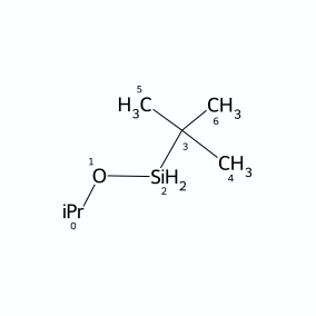 CC(C)O[SiH2]C(C)(C)C